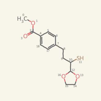 COC(=O)c1ccc(CCC(S)C2OCCO2)cc1